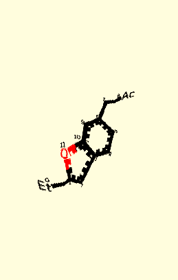 CCc1cc2ccc(CC(C)=O)cc2o1